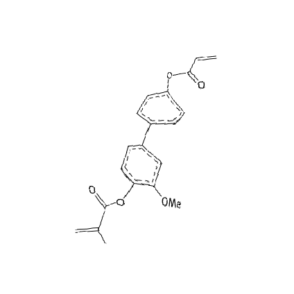 C=CC(=O)Oc1ccc(-c2ccc(OC(=O)C(=C)C)c(OC)c2)cc1